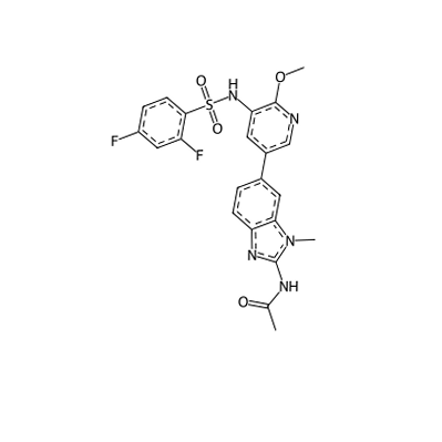 COc1ncc(-c2ccc3nc(NC(C)=O)n(C)c3c2)cc1NS(=O)(=O)c1ccc(F)cc1F